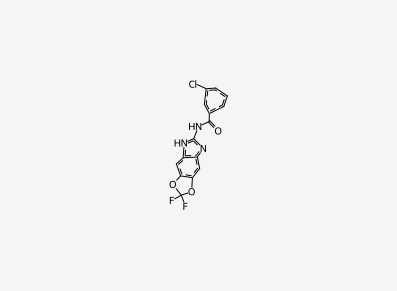 O=C(Nc1nc2cc3c(cc2[nH]1)OC(F)(F)O3)c1cccc(Cl)c1